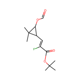 CC(C)(C)OC(=O)C(F)=CC1C(OC=O)C1(C)C